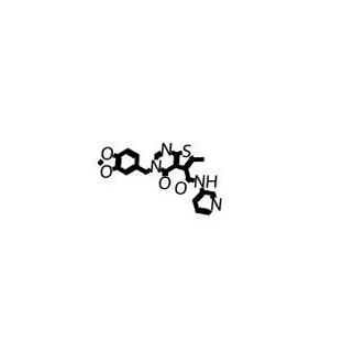 Cc1sc2ncn(Cc3ccc4c(c3)OCO4)c(=O)c2c1C(=O)Nc1cccnc1